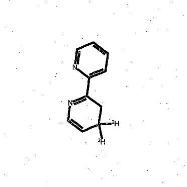 [2H]C1([2H])C=CN=C(c2ccccn2)C1